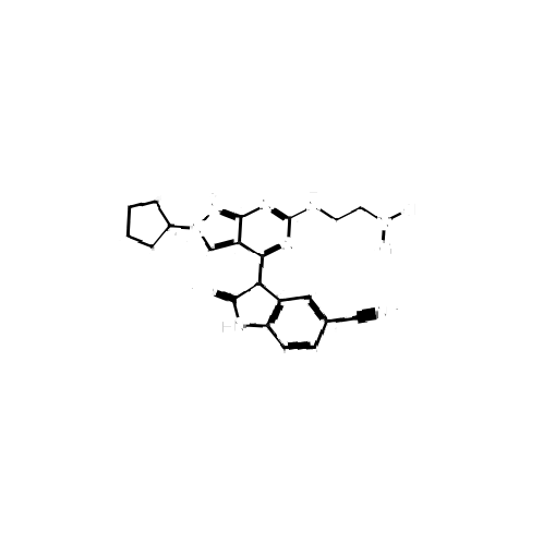 CN(C)CCNc1nc(C2C(=O)Nc3ccc(C#N)cc32)c2cn(C3CCCC3)nc2n1